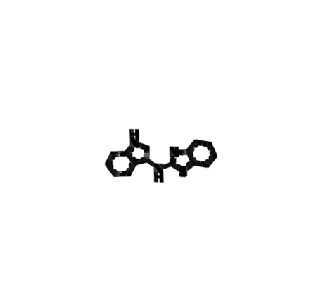 c1ccc2sc(Nc3c[nH]c4ccccc34)nc2c1